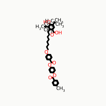 Cc1ccc(C(=O)Oc2ccc(OC(=O)c3ccc(OCCCCCCCCc4c(C(=O)O)cc(C(C)(C)C)c(O)c4C(C)(C)C)cc3)cc2)cc1